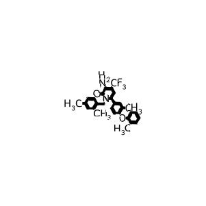 Cc1ccc(Cn2c(-c3ccc(Oc4ccccc4C)c(C)c3)cc(C(F)(F)F)c(N)c2=O)c(C)c1